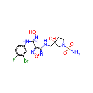 NS(=O)(=O)N1CCC(O)(CNc2nonc2/C(=N/O)Nc2ccc(F)c(Br)c2)C1